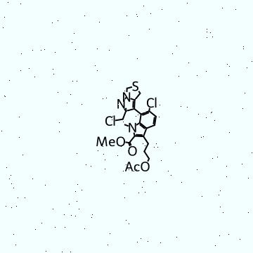 COC(=O)c1c(CCCOC(C)=O)c2ccc(Cl)c(-c3c(CCl)nn4c3CSC4)c2n1C